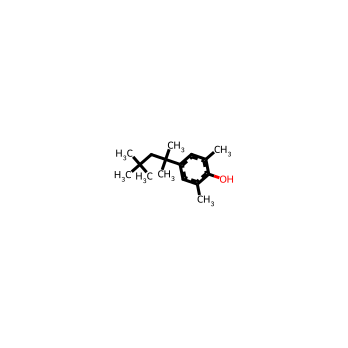 Cc1cc(C(C)(C)CC(C)(C)C)cc(C)c1O